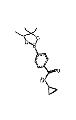 CC1OB(c2ccc(C(=O)NC3CC3)cc2)OC1(C)C